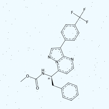 COC(=O)N[C@H](Cc1ccccc1)c1ccnc2c(-c3ccc(C(F)(F)F)cc3)cnn12